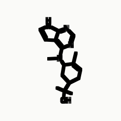 CC1=CCC(C(C)(C)O)CC1N(C)c1ncnc2[nH]ccc12